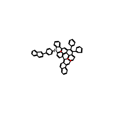 c1ccc(-c2c(-c3ccccc3)c3cc(-c4ccccc4N(c4ccc(-c5ccc6ccccc6c5)cc4)c4ccc(-c5cccc6c5ccc5ccccc56)cc4)ccc3c3ccccc23)cc1